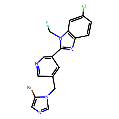 FCn1c(-c2cncc(Cn3cncc3Br)c2)nc2ccc(Cl)cc21